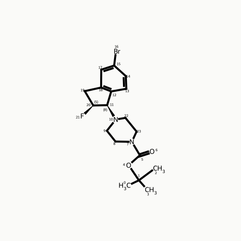 CC(C)(C)OC(=O)N1CCN([C@@H]2c3ccc(Br)cc3C[C@@H]2F)CC1